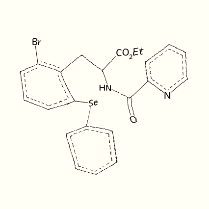 CCOC(=O)C(Cc1c(Br)cccc1[Se]c1ccccc1)NC(=O)c1ccccn1